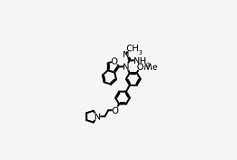 CN=C(N)N(c1cc(-c2ccc(OCCN3CCCC3)cc2)ccc1OC)c1occ2ccccc12